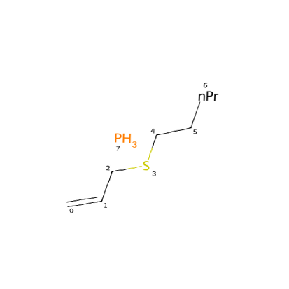 C=CCSCCCCC.P